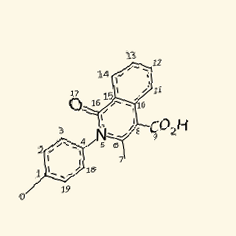 Cc1ccc(-n2c(C)c(C(=O)O)c3ccccc3c2=O)cc1